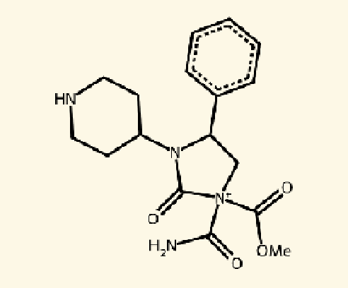 COC(=O)[N+]1(C(N)=O)CC(c2ccccc2)N(C2CCNCC2)C1=O